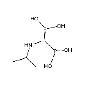 CC(C)NC(P(O)O)P(O)O